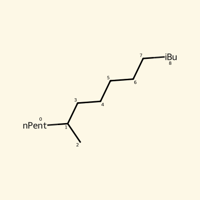 [CH2]CCCCC(C)CCCCCC(C)CC